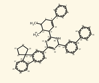 CC1CC(c2ccccc2)=CC(C2=NC(c3ccc4c(c3)C3(CCCC3)c3ccccc3-4)=NC(c3cccc(-c4ccccc4)c3)N2)C1C